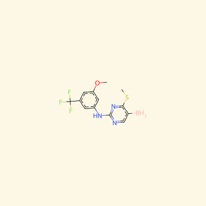 Bc1cnc(Nc2cc(OC)cc(C(F)(F)F)c2)nc1SC